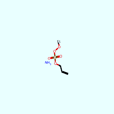 C=CCOS(=O)(=O)OOCC.N